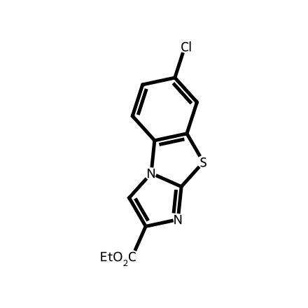 CCOC(=O)c1cn2c(n1)sc1cc(Cl)ccc12